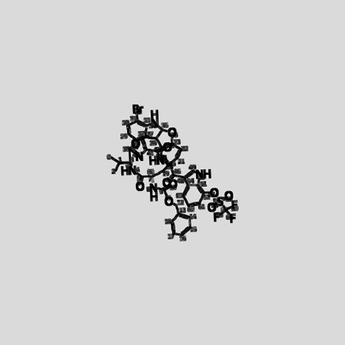 CC(C)[C@@H]1NC(=O)[C@@H](NC(=O)OCc2ccccc2)Cc2ccc3c(c2)C2(c4cccc(Br)c4NC2O3)c2oc1nc2C(=O)NCC(=O)c1c[nH]c2c(OS(=O)(=O)C(F)(F)F)cccc12